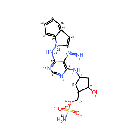 N=Nc1c(NC2CC(O)C(COS(N)(=O)=O)C2)ncnc1Nn1ccc2ccccc21